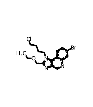 CCOCc1nc2cnc3cc(Br)ccc3c2n1CCCCCl